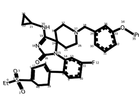 CCS(=O)(=O)C1=CC=C(c2ccc(F)cc2N2C(=O)N=C(NC3CC3)C23CCN(Cc2cccc(OC(C)C)c2)CC3)CC1